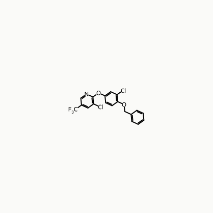 FC(F)(F)c1cnc(Oc2ccc(OCc3ccccc3)c(Cl)c2)c(Cl)c1